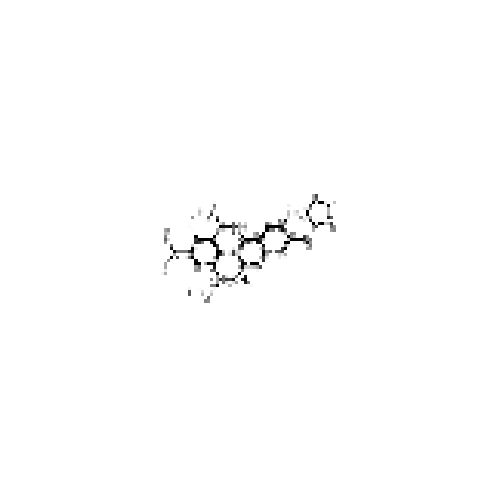 Cc1nc(N[C@H](C)c2cc(NC(=O)O)cc(C(F)F)c2F)c2cc(O[C@H]3CCOC3)c(Br)cc2n1